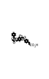 CC(C)C(C(=O)Nc1ccc(C=CC(=O)O)cc1)c1ccc(CN2N=C(c3ccccc3)OCC2=O)cc1